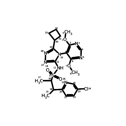 COc1ncnc(OC)c1-n1c(NS(=O)(=O)C(C)C(C)c2ccc(Cl)cn2)nnc1C1CCC1